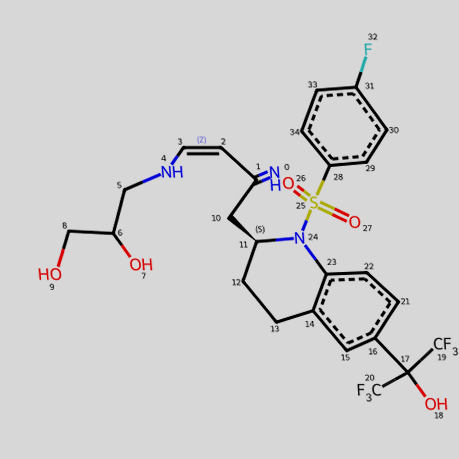 N=C(/C=C\NCC(O)CO)C[C@@H]1CCc2cc(C(O)(C(F)(F)F)C(F)(F)F)ccc2N1S(=O)(=O)c1ccc(F)cc1